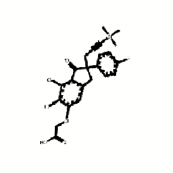 C[Si](C)(C)C#CCC1(c2ccc(F)cc2)Cc2cc(OCC(=O)O)c(Cl)c(Cl)c2C1=O